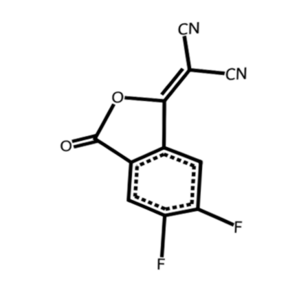 N#CC(C#N)=C1OC(=O)c2cc(F)c(F)cc21